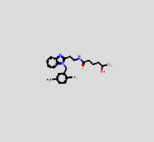 Cc1ccc(C)c(Cn2c(CCNC(=O)CCCC(C)O)nc3ccccc32)c1